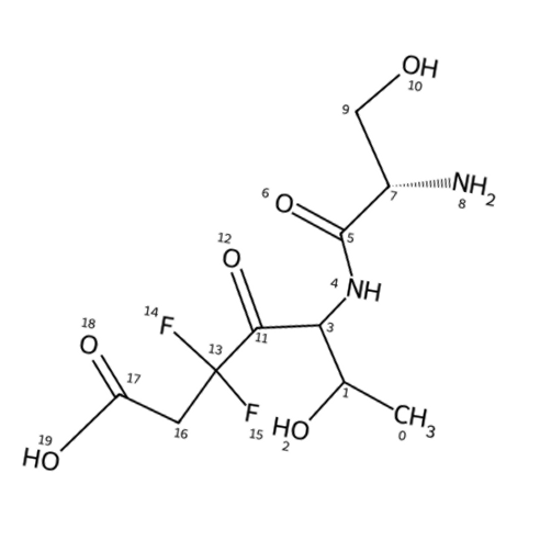 CC(O)C(NC(=O)[C@@H](N)CO)C(=O)C(F)(F)CC(=O)O